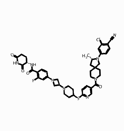 C[C@H]1CC2(CCN(C(=O)c3ccc(SC4CCN(C5CN(c6ccc(C(=O)N[C@H]7CCC(=O)NC7=O)c(F)c6)C5)CC4)nc3)CC2)CN1c1ccc(C#N)c(Cl)c1